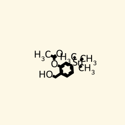 CC(=O)Oc1c[c]([Sn]([CH3])([CH3])[CH3])ccc1CO